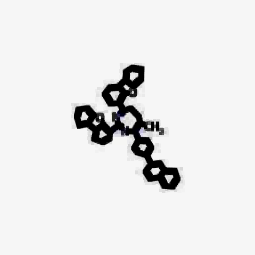 C/C1=C(c2ccc(-c3ccc4ccccc4c3)cc2)/N=C(c2cccc3c2oc2ccccc23)\N=C(\c2cccc3c2oc2ccccc23)CC1